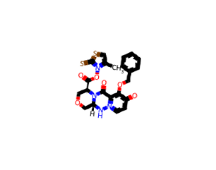 Cc1csc(=S)n1OC(=O)[C@@H]1COC[C@H]2Nn3ccc(=O)c(OCc4ccccc4)c3C(=O)N21